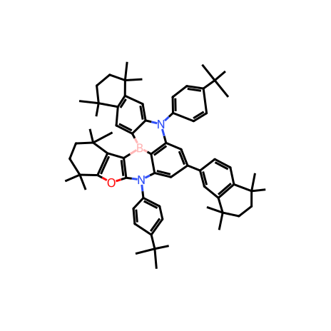 CC(C)(C)c1ccc(N2c3cc4c(cc3B3c5c2cc(-c2ccc6c(c2)C(C)(C)CCC6(C)C)cc5N(c2ccc(C(C)(C)C)cc2)c2oc5c(c23)C(C)(C)CCC5(C)C)C(C)(C)CCC4(C)C)cc1